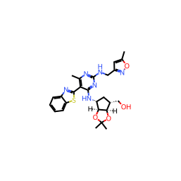 Cc1cc(CNc2nc(C)c(-c3nc4ccccc4s3)c(N[C@@H]3C[C@H](CO)[C@H]4OC(C)(C)O[C@H]43)n2)no1